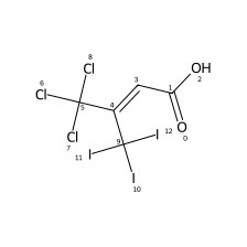 O=C(O)C=C(C(Cl)(Cl)Cl)C(I)(I)I